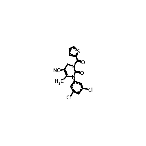 CC1=C(C#N)CN(C(=O)c2cccs2)C(=O)N1c1cc(Cl)cc(Cl)c1